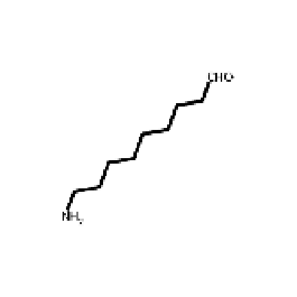 NCCCCCCCC[C]=O